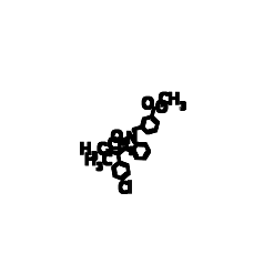 COC(=O)c1cccc(CN2C(=O)/C(=C(/c3ccc(Cl)cc3)C(C)(C)C)c3ccccc32)c1